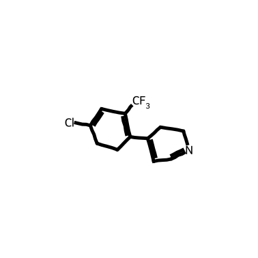 FC(F)(F)C1=C(C2=CC=NCC2)CCC(Cl)=C1